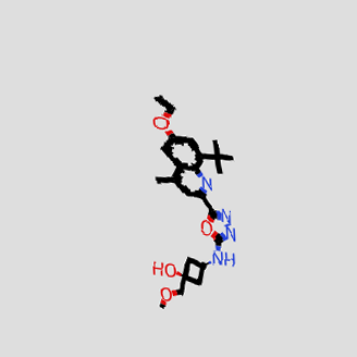 CCOc1cc(C(C)(C)C)c2nc(-c3nnc(N[C@H]4C[C@@](O)(COC)C4)o3)cc(C)c2c1